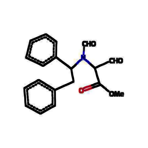 COC(=O)C(C=O)N(C=O)C(Cc1ccccc1)c1ccccc1